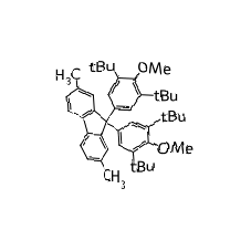 COc1c(C(C)(C)C)cc(C2(c3cc(C(C)(C)C)c(OC)c(C(C)(C)C)c3)c3cc(C)ccc3-c3ccc(C)cc32)cc1C(C)(C)C